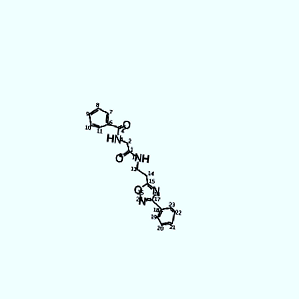 O=C(CNC(=O)c1ccccc1)NCCc1nc(-c2ccccc2)no1